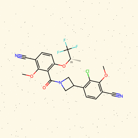 COc1c(C#N)ccc(C2CN(C(=O)c3c(O[C@@H](C)C(F)(F)F)ccc(C#N)c3OC)C2)c1Cl